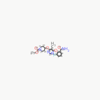 Cc1c(Oc2c(F)cccc2C(N)=O)ncnc1OC1CCN(C(=O)OC(C)C)CC1